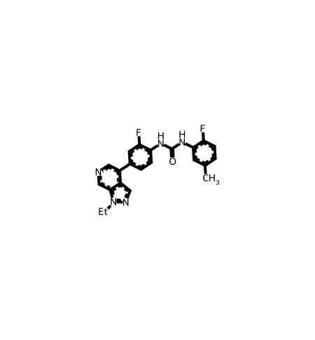 CCn1ncc2c(-c3ccc(NC(=O)Nc4cc(C)ccc4F)c(F)c3)cncc21